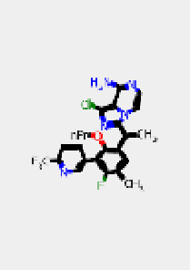 CCCOc1c(C(C)c2nc(Cl)c3c(N)nccn23)cc(C)c(F)c1-c1ccc(C(F)(F)F)nc1